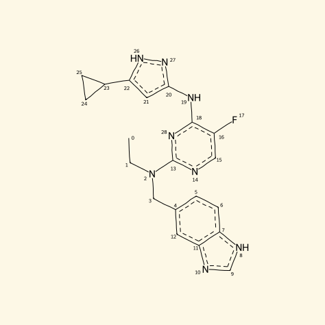 CCN(Cc1ccc2[nH]cnc2c1)c1ncc(F)c(Nc2cc(C3CC3)[nH]n2)n1